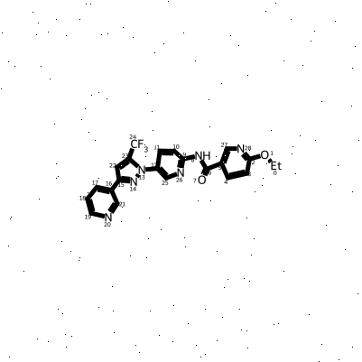 CCOc1ccc(C(=O)Nc2ccc(-n3nc(-c4cccnc4)cc3C(F)(F)F)cn2)cn1